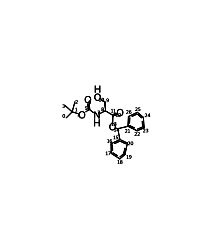 CC(C)(C)OC(=O)N[C@@H](CO)C(=O)OC(c1ccccc1)c1ccccc1